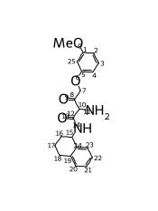 COc1cccc(OCC(=O)C(N)C(=O)NC2CCCc3ccccc32)c1